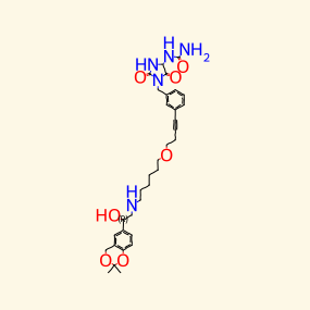 CC1(C)OCc2cc([C@@H](O)CNCCCCCCOCCC#Cc3cccc(CN4C(=O)NC(NC(N)=O)C4=O)c3)ccc2O1